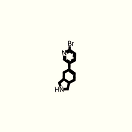 Brc1ccc(C2=CCC3CNCC3C2)cn1